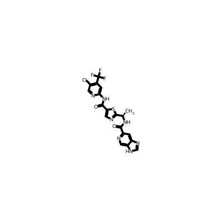 C[C@@H](NC(=O)c1cc2nc[nH]c2cn1)c1ncc(C(=O)Nc2cc(C(F)(F)F)c(Cl)cn2)s1